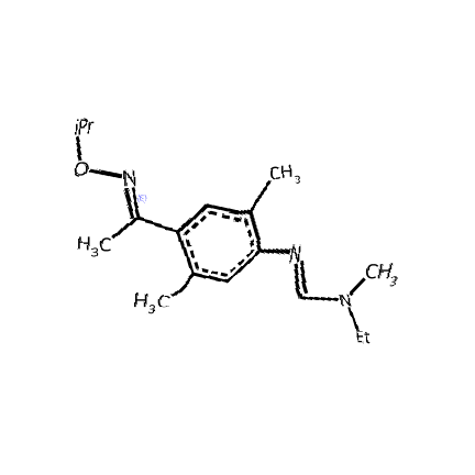 CCN(C)C=Nc1cc(C)c(/C(C)=N/OC(C)C)cc1C